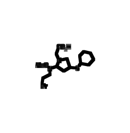 CON(CCC(C)C)C1CC(SC2CCCCC2)CN1CC(=O)O